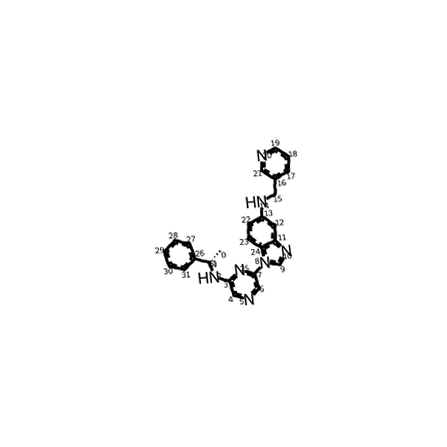 C[C@H](Nc1cncc(-n2cnc3cc(NCc4cccnc4)ccc32)n1)c1ccccc1